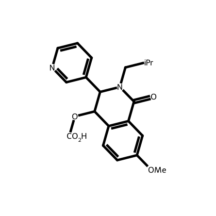 COc1ccc2c(c1)C(=O)N(CC(C)C)C(c1cccnc1)C2OC(=O)O